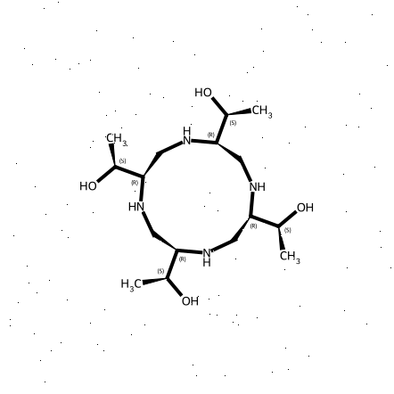 C[C@H](O)[C@H]1CN[C@@H]([C@H](C)O)CN[C@@H]([C@H](C)O)CN[C@@H]([C@H](C)O)CN1